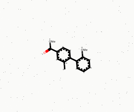 COC(=O)c1ccc(-c2ccccc2OC)c(C)c1